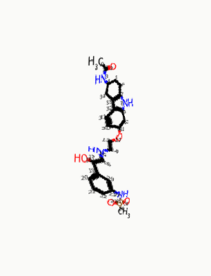 CC(=O)NC1CCc2[nH]c3cc(OCCNCC(O)c4cccc(NS(C)(=O)=O)c4)ccc3c2C1